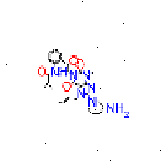 CC=CCn1c(N2CCCC(N)C2)nc2c1c(=O)n(CC(=O)c1ccccc1NC(=O)C1CC1)c(=O)n2C